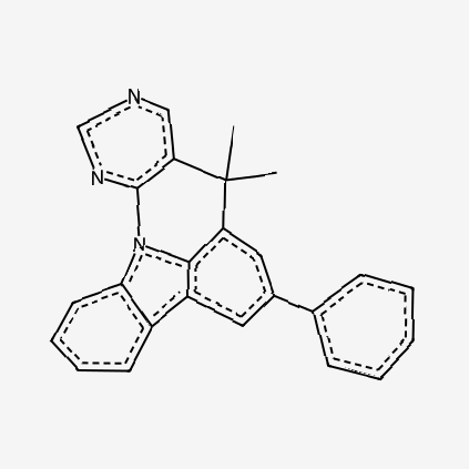 CC1(C)c2cncnc2-n2c3ccccc3c3cc(-c4ccccc4)cc1c32